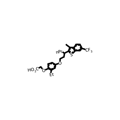 CCCC(CCOc1ccc(OCC(=O)O)c(CC)c1)c1sc2cc(C(F)(F)F)ccc2c1C